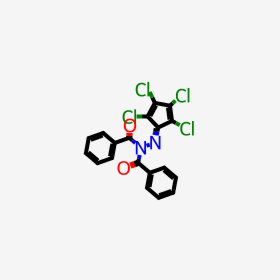 O=C(c1ccccc1)N(N=C1C(Cl)=C(Cl)C(Cl)=C1Cl)C(=O)c1ccccc1